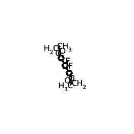 C=C(C)C(=O)Oc1ccc(-c2ccc(-c3ccc(OC(=O)C(=C)C)cc3)c(F)c2F)cc1